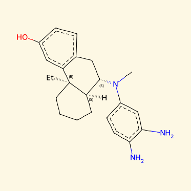 CC[C@@]12CCCC[C@@H]1[C@@H](N(C)c1ccc(N)c(N)c1)Cc1ccc(O)cc12